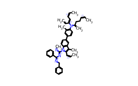 C=C/C(=C\C=C/C)N(C(=C)CC/C=C\C)c1ccc(-c2ccc3c(c2)c(C)c(/C=C\C)n3/C(N=C)=N/C(=N\Cc2ccccc2)c2ccccc2)cc1C